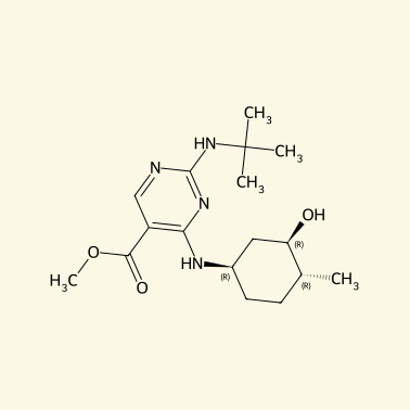 COC(=O)c1cnc(NC(C)(C)C)nc1N[C@@H]1CC[C@@H](C)[C@H](O)C1